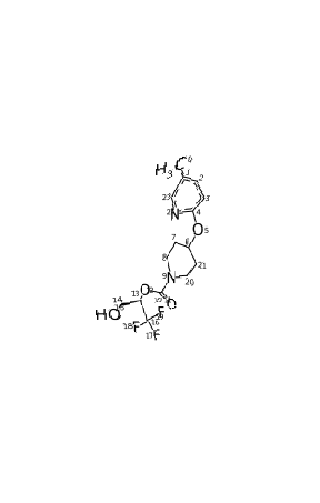 Cc1ccc(OC2CCN(C(=O)O[C@H](CO)C(F)(F)F)CC2)nc1